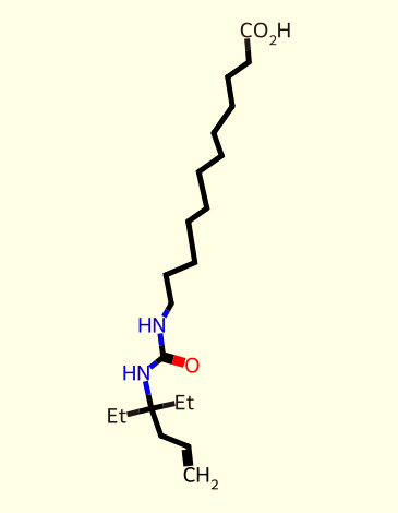 C=CCC(CC)(CC)NC(=O)NCCCCCCCCCCCC(=O)O